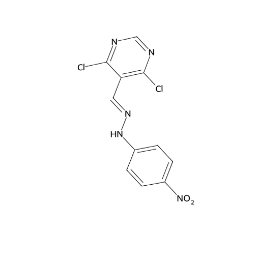 O=[N+]([O-])c1ccc(NN=Cc2c(Cl)ncnc2Cl)cc1